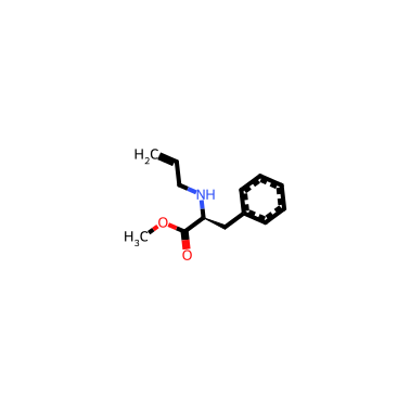 C=CCN[C@@H](Cc1ccccc1)C(=O)OC